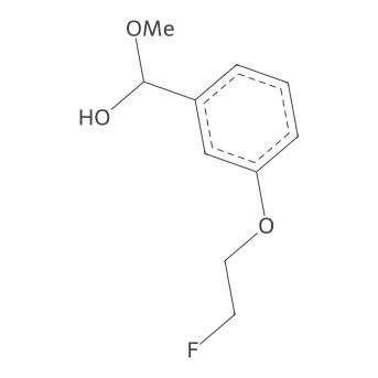 COC(O)c1cccc(OCCF)c1